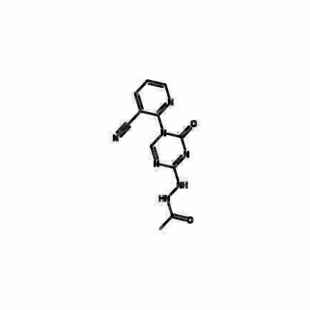 CC(=O)NNc1ncn(-c2ncccc2C#N)c(=O)n1